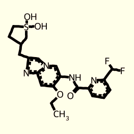 CCOc1cc2nc(CC3CCS(O)(O)C3)cn2cc1NC(=O)c1cccc(C(F)F)n1